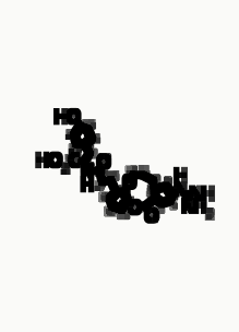 N=C(N)Nc1ccc2c(c1)CCCOc1c(CCC(=O)NC(Cc3ccc(O)cc3)C(=O)O)cccc1OC2=O